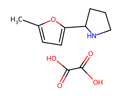 Cc1ccc(C2CCCN2)o1.O=C(O)C(=O)O